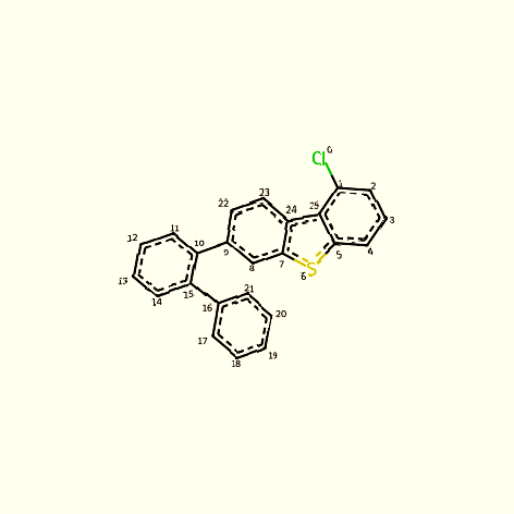 Clc1cccc2sc3cc(-c4ccccc4-c4ccccc4)ccc3c12